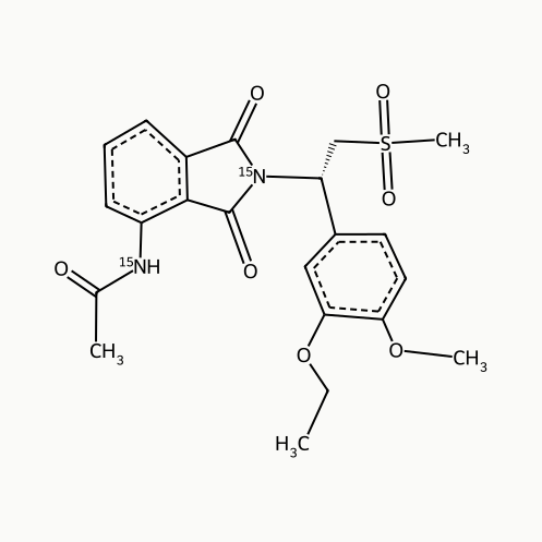 CCOc1cc([C@@H](CS(C)(=O)=O)[15N]2C(=O)c3cccc([15NH]C(C)=O)c3C2=O)ccc1OC